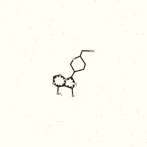 Nc1ncnn2c(C3CCC(CO)OC3)nc(Br)c12